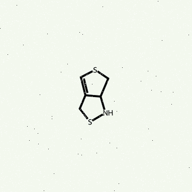 C1=C2CSNC2CS1